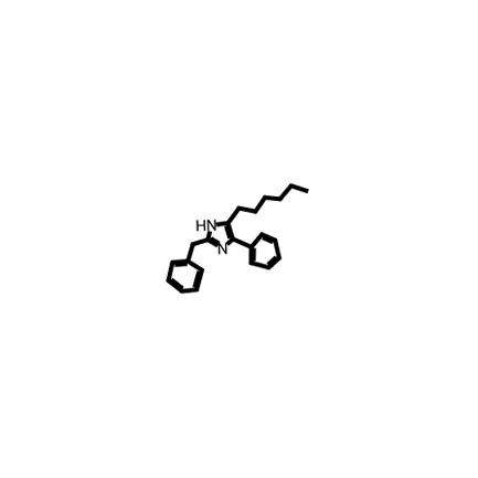 CCCCCCc1[nH]c(Cc2ccccc2)nc1-c1ccccc1